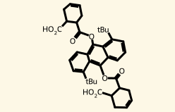 CC(C)(C)c1cccc2c(OC(=O)C3CC=CCC3C(=O)O)c3c(C(C)(C)C)cccc3c(OC(=O)C3CC=CCC3C(=O)O)c12